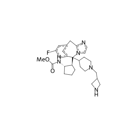 COC(=O)N[C@H]1CCC[C@@H]1C1(C2CCN(CC3CNC3)CC2)c2cc(F)cc(c2)Cc2nccn21